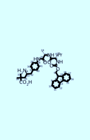 CC(C)[C@H](NC(=O)OCC1c2ccccc2-c2ccccc21)C(=O)N[C@@H](C)C(=O)Nc1ccc(C[C@H](N)CC(C)(C)C(=O)O)cc1